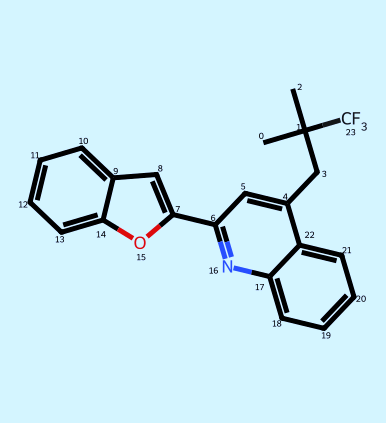 CC(C)(Cc1cc(-c2cc3ccccc3o2)nc2ccccc12)C(F)(F)F